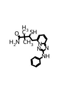 CC(C)(C(N)=O)C(S)Cc1cccc2nc(Nc3ccccc3)nn12